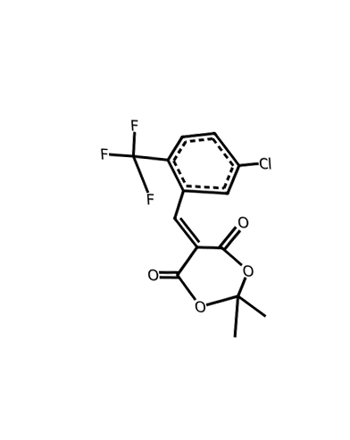 CC1(C)OC(=O)C(=Cc2cc(Cl)ccc2C(F)(F)F)C(=O)O1